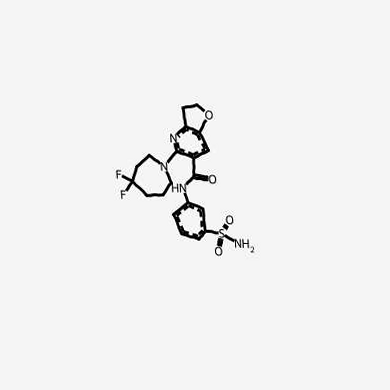 NS(=O)(=O)c1cccc(NC(=O)c2cc3c(nc2N2CCCC(F)(F)CC2)CCO3)c1